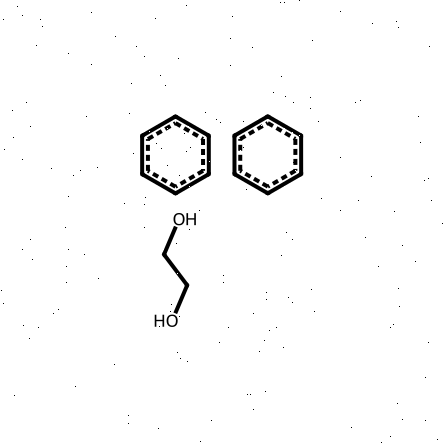 OCCO.c1ccccc1.c1ccccc1